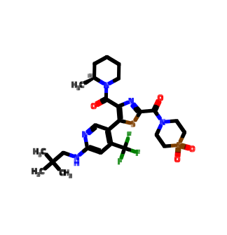 C[C@H]1CCCCN1C(=O)c1nc(C(=O)N2CCS(=O)(=O)CC2)sc1-c1cnc(NCC(C)(C)C)cc1C(F)(F)F